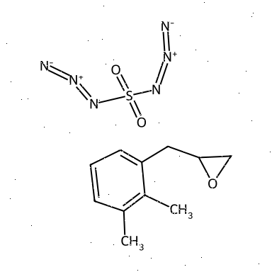 Cc1cccc(CC2CO2)c1C.[N-]=[N+]=NS(=O)(=O)N=[N+]=[N-]